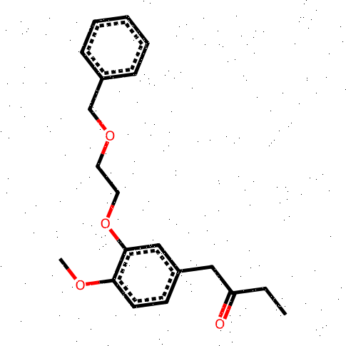 CCC(=O)Cc1ccc(OC)c(OCCOCc2ccccc2)c1